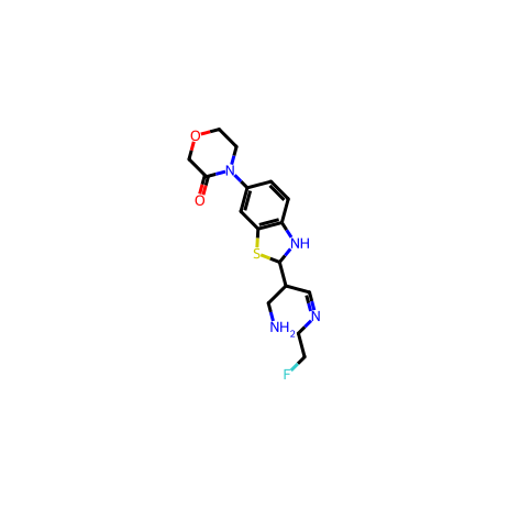 NCC(/C=N\CCF)C1Nc2ccc(N3CCOCC3=O)cc2S1